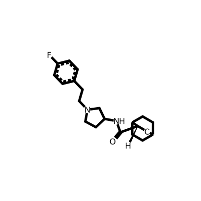 O=C(NC1CCN(CCc2ccc(F)cc2)C1)[C@H]1CC2CCC1CC2